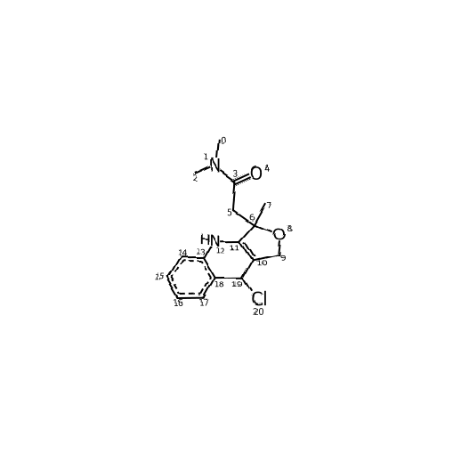 CN(C)C(=O)CC1(C)OCC2=C1Nc1ccccc1C2Cl